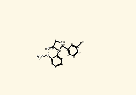 COc1ccccc1N1C(=O)CSC1c1cccc(F)c1